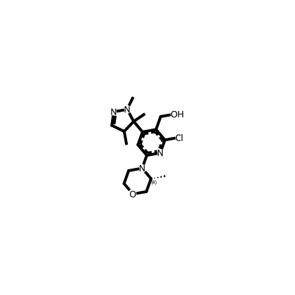 CC1C=NN(C)C1(C)c1cc(N2CCOC[C@H]2C)nc(Cl)c1CO